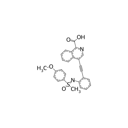 COc1ccc(S(C)(=O)=Nc2ccccc2C#Cc2cnc(C(=O)O)c3ccccc23)cc1